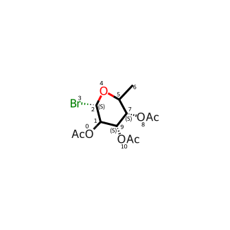 CC(=O)OC1[C@H](Br)OC(C)[C@H](OC(C)=O)[C@@H]1OC(C)=O